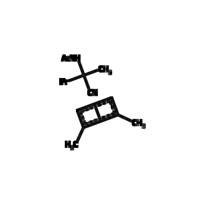 CC(=O)NC(C)(C#N)C(C)C.Cc1cc2cc(C)c1-2